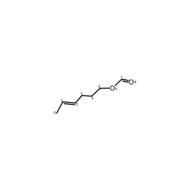 CC=CCCCOC=O